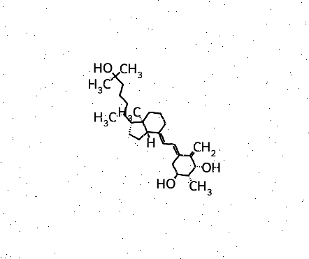 C=C1/C(=C/C=C2\CCC[C@]3(C)[C@@H]([C@H](C)CCCC(C)(C)O)CC[C@@H]23)C[C@H](O)[C@@H](C)[C@H]1O